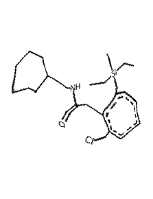 C[Si](C)(C)c1cccc(Cl)c1C(=O)NC1CCCCC1